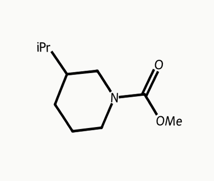 COC(=O)N1CCCC(C(C)C)C1